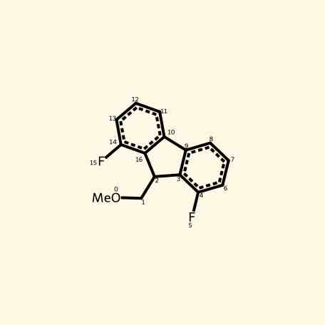 COCC1c2c(F)cccc2-c2cccc(F)c21